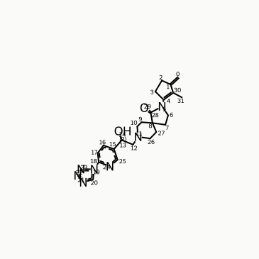 C=C1CCC(N2CCC3(CCN(C[C@H](O)c4ccc(-n5cnnn5)nc4)CC3)C2=O)=C1C